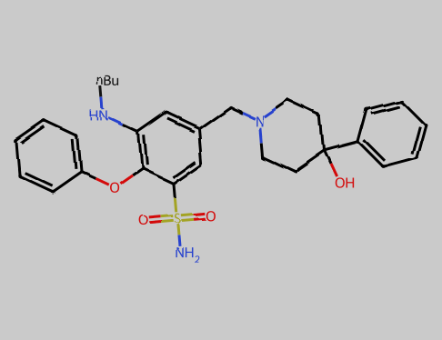 CCCCNc1cc(CN2CCC(O)(c3ccccc3)CC2)cc(S(N)(=O)=O)c1Oc1ccccc1